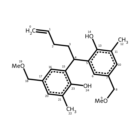 C=CCCC(c1cc(COC)cc(C)c1O)c1cc(COC)cc(C)c1O